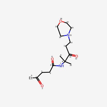 CCC(=O)CCC(=O)NC(C)(C)C(=O)CCN1CCOCC1